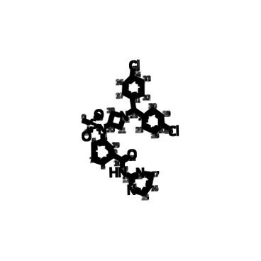 CS(=O)(=O)N(c1cccc(C(=O)Nc2ncccn2)c1)C1CN(C(c2ccc(Cl)cc2)c2ccc(Cl)cc2)C1